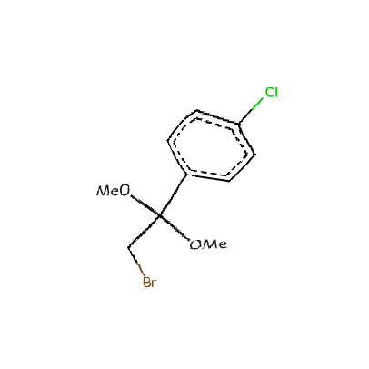 COC(CBr)(OC)c1ccc(Cl)cc1